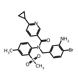 Cc1ccc(N(Cc2ccc(Br)c(N)c2)C(=O)c2ccc(C3CC3)nc2)c(S(C)(=O)=O)c1